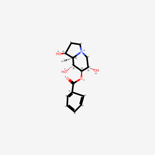 O=C(O[C@H]1[C@H](O)[C@H]2[C@@H](O)CCN2C[C@@H]1O)c1ccccc1